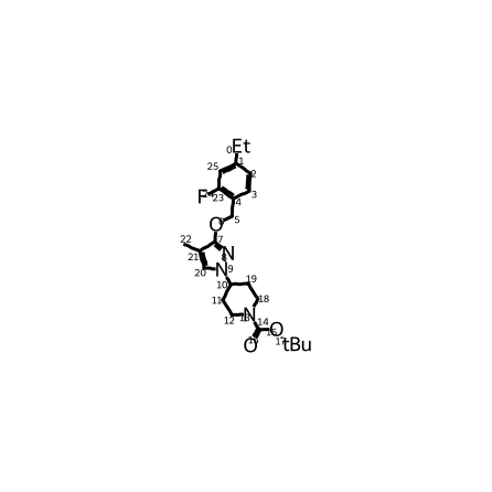 CCc1ccc(COc2nn(C3CCN(C(=O)OC(C)(C)C)CC3)cc2C)c(F)c1